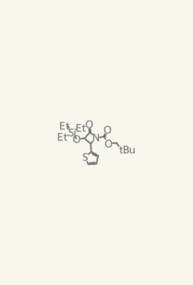 CC[Si](CC)(CC)OC1C(=O)N(C(=O)OCC(C)(C)C)C1c1cccs1